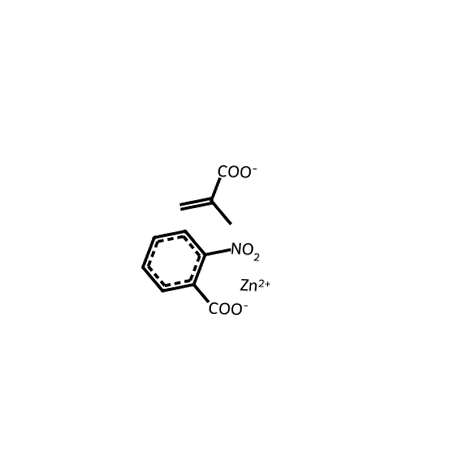 C=C(C)C(=O)[O-].O=C([O-])c1ccccc1[N+](=O)[O-].[Zn+2]